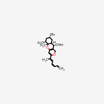 C=C/C=C\C=C(/C)C1=CC2=C(CO1)[C@H](OC)[C@@H]1C[C@H](C(C)(C)C)C[C@H](OC(C)=O)[C@@]1(C)O2